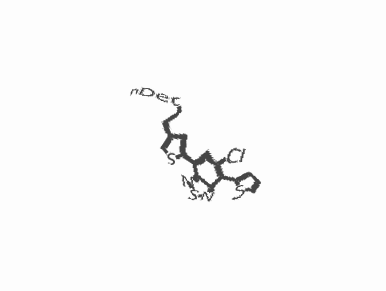 CCCCCCCCCCCCc1csc(-c2cc(Cl)c(-c3cccs3)c3nsnc23)c1